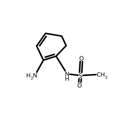 CS(=O)(=O)NC1=C(N)C=CCC1